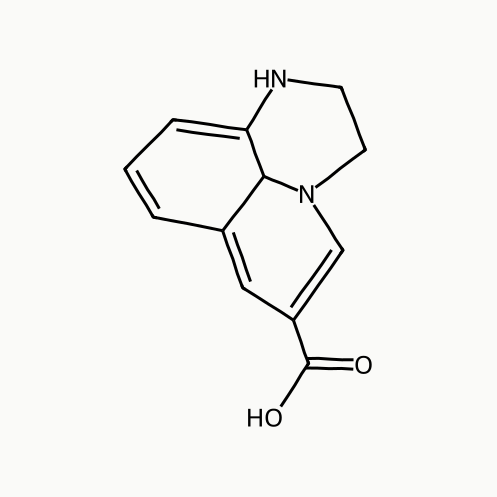 O=C(O)C1=CN2CCNC3=CC=CC(=C1)C32